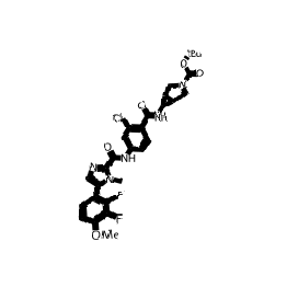 COc1ccc(-c2cnc(C(=O)Nc3ccc(C(=O)NC4C5CN(C(=O)OC(C)(C)C)CC54)c(Cl)c3)n2C)c(F)c1F